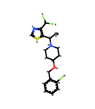 N#CC(c1scnc1C(F)F)N1CCC(OCc2ccccc2F)CC1